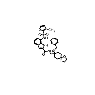 Cc1ccsc1S(=O)(=O)Nc1cccc2cc(C(=O)NCC3(SCc4ccccc4)CCC4(CC3)OCCO4)[nH]c12